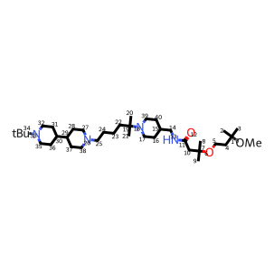 COC(C)(C)CCOC(C)(C)CC(=O)NCC1CCN(C(C)(C)CCCCN2CCC(C3CCN(C(C)(C)C)CC3)CC2)CC1